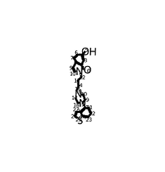 O=c1c2cc(O)ccc2ccn1CCCCN1CCN(c2cccc3sccc23)CC1